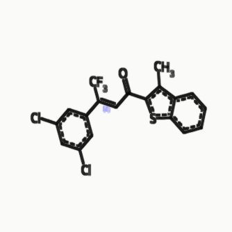 Cc1c(C(=O)/C=C(/c2cc(Cl)cc(Cl)c2)C(F)(F)F)sc2ccccc12